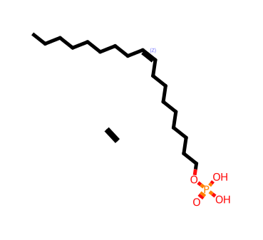 C=C.CCCCCCCC/C=C\CCCCCCCCOP(=O)(O)O